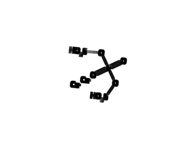 O=S(=O)(O)OS(=O)(=O)OS(=O)(=O)O.[Cu].[Cu]